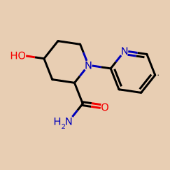 NC(=O)C1CC(O)CCN1c1cc[c]cn1